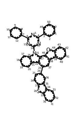 c1ccc(-c2nc(-c3ccccc3)nc(-n3c4ccccc4c4c(-c5ccc6sc7ccccc7c6c5)cc5c6ccccc6oc5c43)n2)cc1